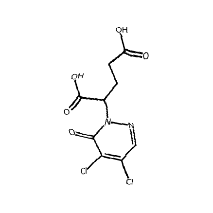 O=C(O)CCC(C(=O)O)n1ncc(Cl)c(Cl)c1=O